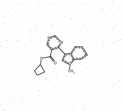 Cn1cc(-c2ncncc2C(=O)OC2CCC2)c2ccccc21